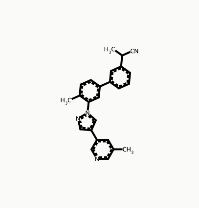 Cc1cncc(-c2cnn(-c3cc(-c4cccc(C(C)C#N)c4)ccc3C)c2)c1